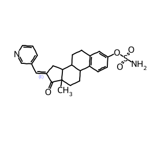 CC12CCC3c4ccc(OS(N)(=O)=O)cc4CCC3C1C/C(=C\c1cccnc1)C2=O